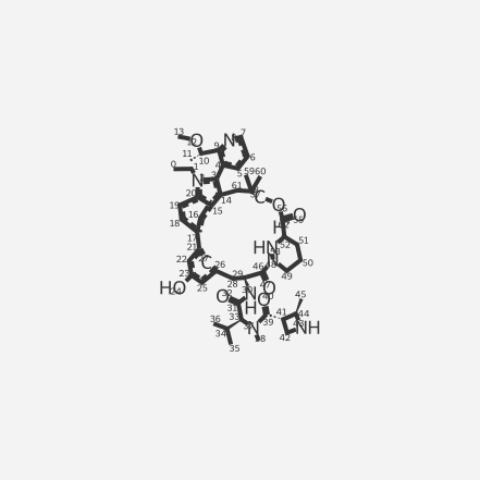 CCn1c(-c2cccnc2[C@H](C)OC)c2c3cc(ccc31)-c1cc(O)cc(c1)C[C@H](NC(=O)[C@H](C(C)C)N(C)C(=O)[C@H]1CN[C@@H]1C)C(=O)N1CCC[C@H](N1)C(=O)OCC(C)(C)C2